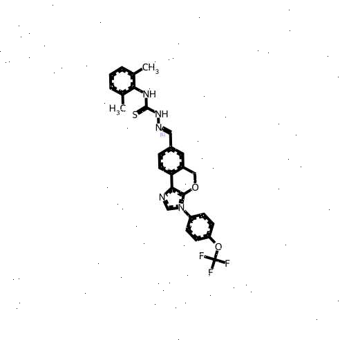 Cc1cccc(C)c1NC(=S)N/N=C/c1ccc2c(c1)COc1c-2ncn1-c1ccc(OC(F)(F)F)cc1